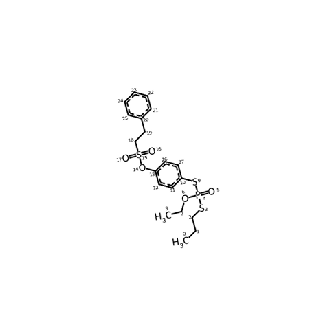 CCCSP(=O)(OCC)Sc1ccc(OS(=O)(=O)CCc2ccccc2)cc1